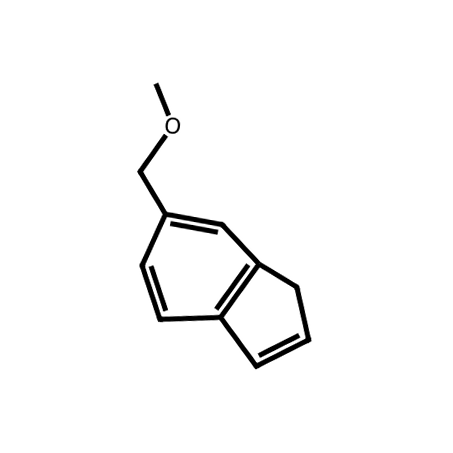 COCc1ccc2c(c1)CC=C2